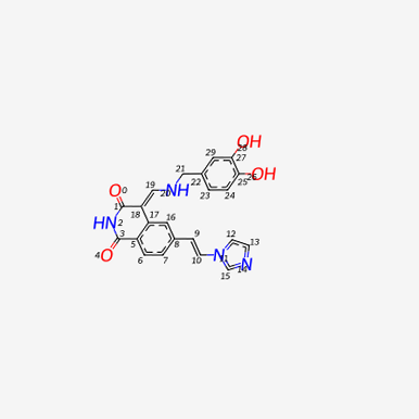 O=C1NC(=O)c2ccc(/C=C/n3ccnc3)cc2/C1=C\NCc1ccc(O)c(O)c1